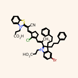 C/C(=C\C1=C(Cl)C(=C/C(C#N)=C2/Sc3ccccc3N2CCC(=O)O)/CC1)C1=[N+](CCC(=O)O)c2ccc(Br)cc2C1(CCCc1ccccc1)CCCc1ccccc1